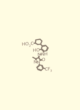 CC1=NN(c2cccc(C(F)(F)F)c2)C(=O)C1=NNc1cccc(C2CCCC(C(=O)O)C2)c1O